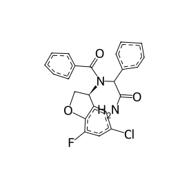 NC(=O)C(c1ccccc1)N(C(=O)c1ccccc1)[C@@H]1COc2c(F)cc(Cl)cc21